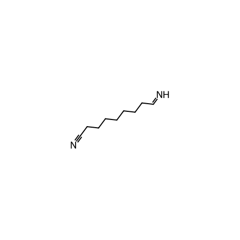 N#CCCCCCCCC=N